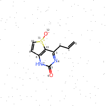 C=CCc1nc(=O)[nH]c2cc[s+]([O-])c12